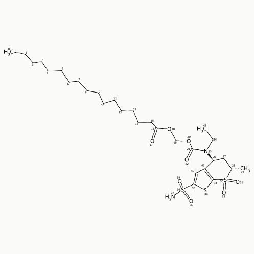 CCCCCCCCCCCCCCCCC(=O)OCOC(=O)N(CC)[C@H]1C[C@H](C)S(=O)(=O)c2sc(S(N)(=O)=O)cc21